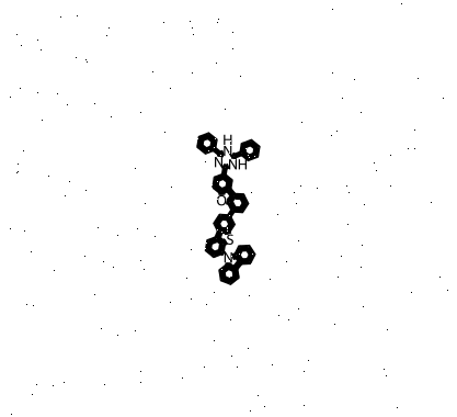 c1ccc(C2=NC(c3ccc4oc5c(-c6ccc7c(c6)sc6c(-n8c9ccccc9c9ccccc98)cccc67)cccc5c4c3)NC(c3ccccc3)N2)cc1